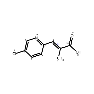 C/C(=C\c1ccc(Cl)cn1)C(=O)O